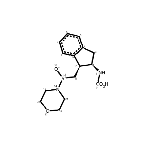 O=C(O)N[C@@H]1Cc2ccccc2[C@@H]1C[S+]([O-])N1CCOCC1